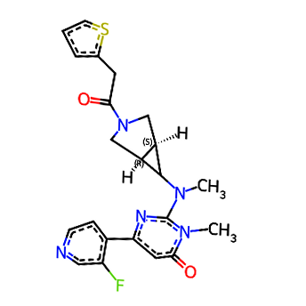 CN(c1nc(-c2ccncc2F)cc(=O)n1C)C1[C@H]2CN(C(=O)Cc3cccs3)C[C@@H]12